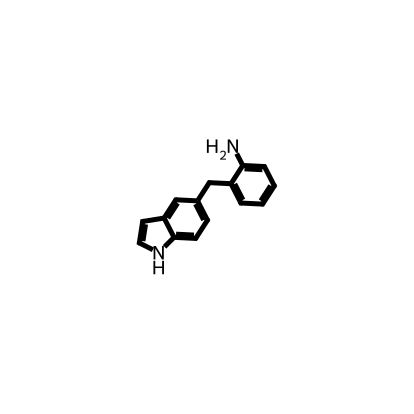 Nc1ccccc1Cc1ccc2[nH]ccc2c1